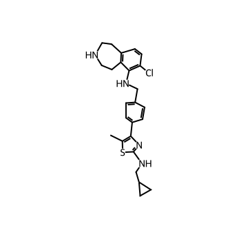 Cc1sc(NCC2CC2)nc1-c1ccc(CNc2c(Cl)ccc3c2CCNCC3)cc1